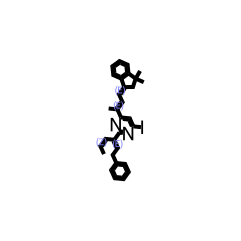 C/C=C\C(=C/Cc1ccccc1)c1nc(I)cc(/C(C)=C/C=C2\CC(C)(C)c3ccccc32)n1